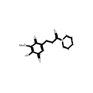 CCCC1=C(OC)C(=O)C(CCC(=O)N2CCCCC2)=CC1=O